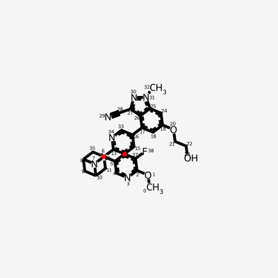 COc1ncc(CN2C3CC2CN(c2ccc(-c4cc(OCCO)cc5c4c(C#N)nn5C)cn2)C3)cc1F